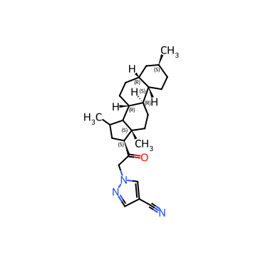 CC1C[C@H](C(=O)Cn2cc(C#N)cn2)[C@@]2(C)CC[C@@H]3[C@H]4CC[C@H](C)C[C@H]4CC[C@H]3C12